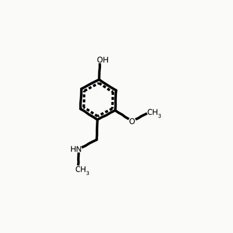 CNCc1ccc(O)cc1OC